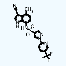 Cc1ccc(NS(=O)(=O)c2cnn(-c3ccc(C(F)(F)F)cn3)c2)c2[nH]cc(C#N)c12